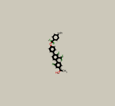 CCCC1CCC(C(F)(F)Oc2ccc(-c3ccc(-c4ccc(C(C)O)cc4F)c(C(F)F)c3F)cc2)CC1